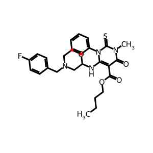 CCCCOC(=O)c1c(NC2CN(Cc3ccc(F)cc3)CCO2)n(-c2ccccc2)c(=S)n(C)c1=O